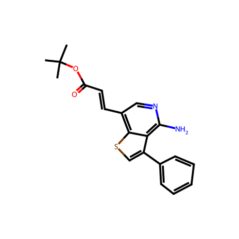 CC(C)(C)OC(=O)C=Cc1cnc(N)c2c(-c3ccccc3)csc12